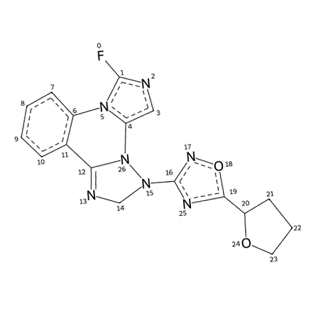 Fc1ncc2n1-c1ccccc1C1=NCN(c3noc(C4CCCO4)n3)N12